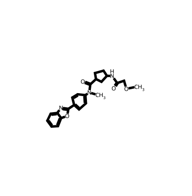 COCC(=O)NC1CCC(C(=O)N(C)c2ccc(-c3nc4ccccc4o3)cc2)C1